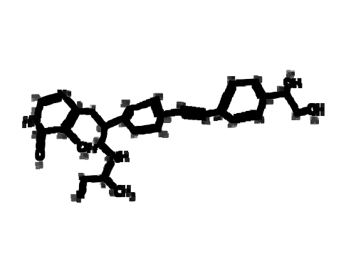 CC(CF)NCC(Cc1nc[nH]c(=O)c1O)c1ccc(C#Cc2ccc(C(O)CO)cc2)cc1